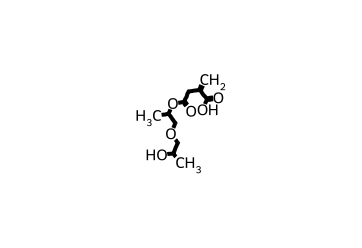 C=C(CC(=O)OC(C)COCC(C)O)C(=O)O